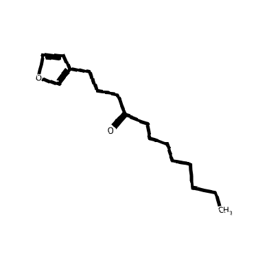 CCCCCCCCC(=O)CCCc1ccoc1